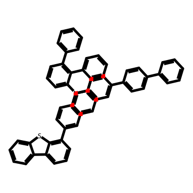 c1ccc(-c2ccc(-c3ccc(N(c4ccc(-c5cccc6c5sc5ccccc56)cc4)c4cccc(-c5ccccc5)c4-c4ccccc4-c4ccccc4)cc3)cc2)cc1